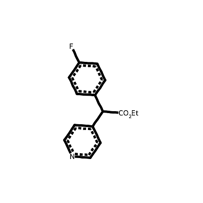 CCOC(=O)C(c1ccncc1)c1ccc(F)cc1